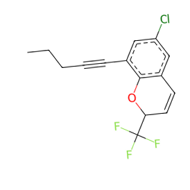 CCCC#Cc1cc(Cl)cc2c1OC(C(F)(F)F)C=C2